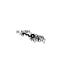 CC(C)(C)[Si](C)(C)Oc1ccc(CCCC(N)C(N)=O)cc1